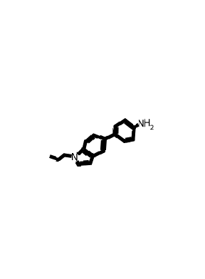 CCCn1ccc2cc(-c3ccc(N)cc3)ccc21